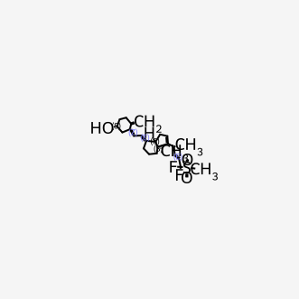 C=C1CC[C@H](O)C/C1=C/C=C1\CCC[C@]2(C)C(C(C)/C=C/C(F)(F)S(C)(=O)=O)=CC[C@@H]12